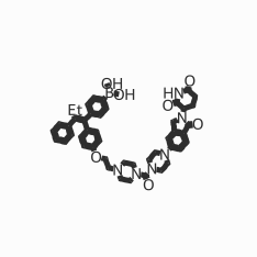 CC/C(=C(/c1ccc(OCCN2CCN(C(=O)N3CCN(c4ccc5c(c4)CN(C4CCC(=O)NC4=O)C5=O)CC3)CC2)cc1)c1ccc(B(O)O)cc1)c1ccccc1